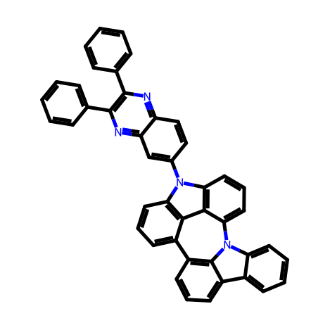 c1ccc(-c2nc3ccc(-n4c5cccc6c7cccc8c9ccccc9n(c9cccc4c9c65)c78)cc3nc2-c2ccccc2)cc1